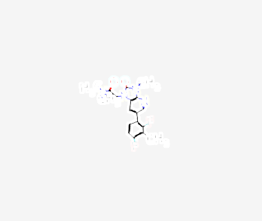 Cc1c(F)ccc(-c2cnc3c(c2)n(CC(=O)N(C)C)c(=O)n3C)c1F